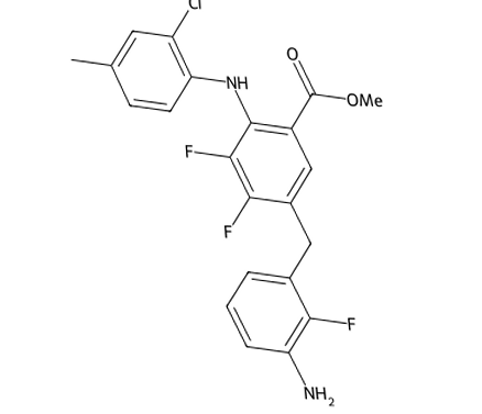 COC(=O)c1cc(Cc2cccc(N)c2F)c(F)c(F)c1Nc1ccc(C)cc1Cl